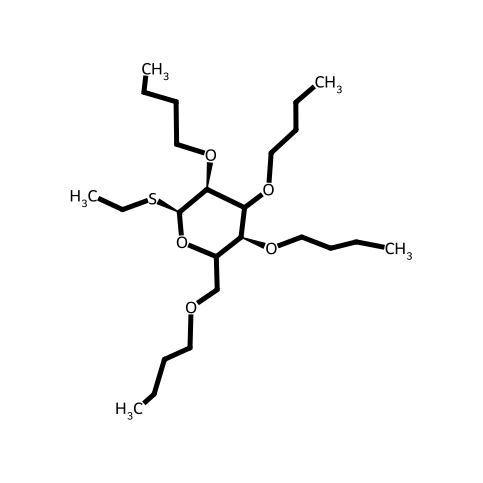 CCCCOCC1O[C@@H](SCC)[C@@H](OCCCC)C(OCCCC)[C@H]1OCCCC